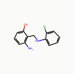 Nc1cccc(O)c1CNc1ccccc1Cl